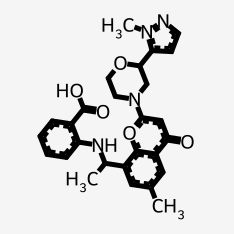 Cc1cc(C(C)Nc2ccccc2C(=O)O)c2oc(N3CCOC(c4ccnn4C)C3)cc(=O)c2c1